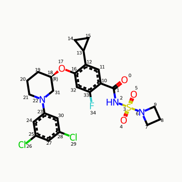 O=C(NS(=O)(=O)N1CCC1)c1cc(C2CC2)c(O[C@@H]2CCCN(c3cc(Cl)cc(Cl)c3)C2)cc1F